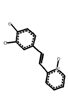 [O-][n+]1ccccc1C=Cc1ccc(Cl)c(Cl)c1